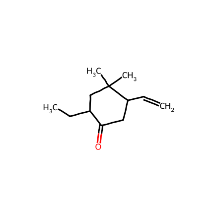 C=CC1CC(=O)C(CC)CC1(C)C